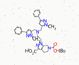 Cn1nc(-c2ccccc2)cc1CN(CCn1nc(C(=O)O)c2c1CN(C(=O)OC(C)(C)C)CC2)Cc1cc(-c2ccccc2)nn1C